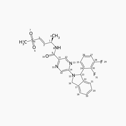 C[C@H](/C=C/S(C)(=O)=O)NC(=O)c1cnc(N2Cc3ccccc3C2c2cccc(F)c2F)cn1